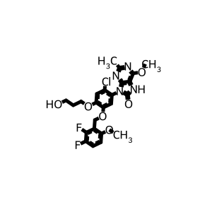 COc1ccc(F)c(F)c1COc1cc(-n2c(=O)[nH]c3c(OC)nc(C)nc32)c(Cl)cc1OCCCO